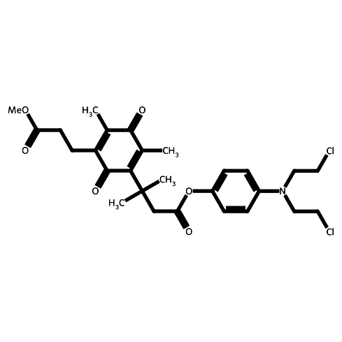 COC(=O)CCC1=C(C)C(=O)C(C)=C(C(C)(C)CC(=O)Oc2ccc(N(CCCl)CCCl)cc2)C1=O